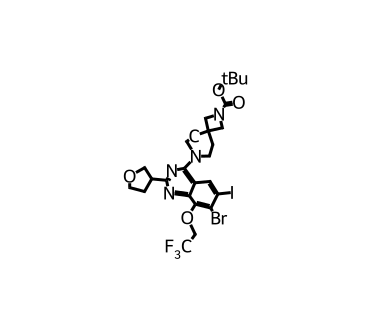 CC(C)(C)OC(=O)N1CC2(CCN(c3nc(C4CCOC4)nc4c(OCC(F)(F)F)c(Br)c(I)cc34)CC2)C1